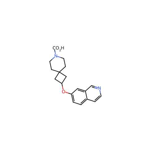 O=C(O)N1CCC2(CC1)CC(Oc1ccc3ccncc3c1)C2